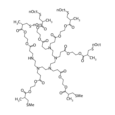 CCCCCCCCSCC(C)C(=O)OCCOC(=O)CCNCCN(CCC(=O)OCCOC(=O)C(C)CSC)CCN(CCC(=O)OCCOC(=O)C(C)CSC)CCN(CCC(=O)OCCOC(=O)C(C)CSCCCCCCCC)CCN(CCC(=O)OCCOC(=O)C(C)CSCCCCCCCC)CCC(=O)OCCOC(=O)C(C)CSCCCCCCCC